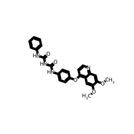 COc1cc2nccc(Oc3ccc(NC(=O)NC(=O)Nc4ccccc4)cc3)c2cc1OC